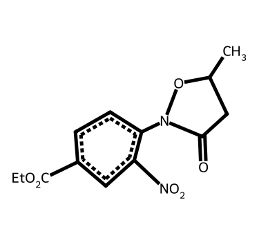 CCOC(=O)c1ccc(N2OC(C)CC2=O)c([N+](=O)[O-])c1